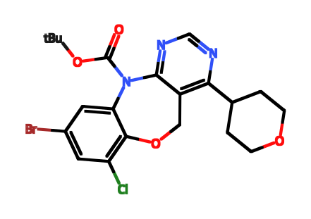 CC(C)(C)OC(=O)N1c2cc(Br)cc(Cl)c2OCc2c(C3CCOCC3)ncnc21